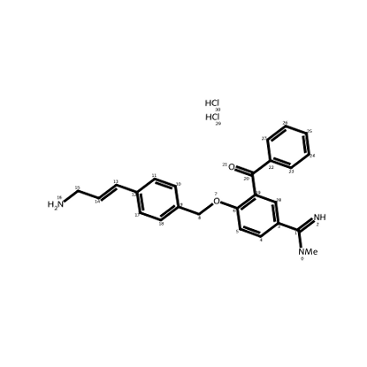 CNC(=N)c1ccc(OCc2ccc(/C=C/CN)cc2)c(C(=O)c2ccccc2)c1.Cl.Cl